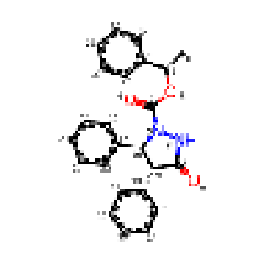 C[C@@H](OC(=O)N1NC(=O)[C@H](c2ccccc2)[C@H]1c1ccccc1)c1ccccc1